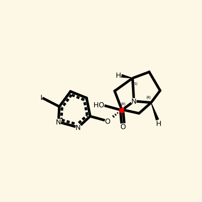 O=C(O)N1[C@@H]2CC[C@H]1C[C@@H](Oc1ccc(I)nn1)C2